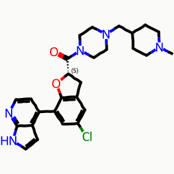 CN1CCC(CN2CCN(C(=O)[C@@H]3Cc4cc(Cl)cc(-c5ccnc6[nH]ccc56)c4O3)CC2)CC1